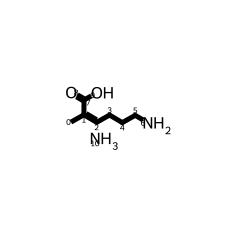 CC(=CCCCN)C(=O)O.N